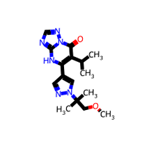 COCC(C)(C)n1cc(-c2[nH]c3ncnn3c(=O)c2C(C)C)cn1